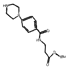 CC(C)(C)OC(=O)CCNC(=O)c1ccc(N2CCNCC2)cc1